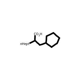 CCCCCCCC(CC1CCCCC1)C(=O)O